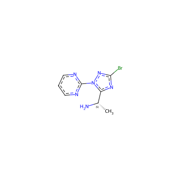 C[C@H](N)c1nc(Br)nn1-c1ncccn1